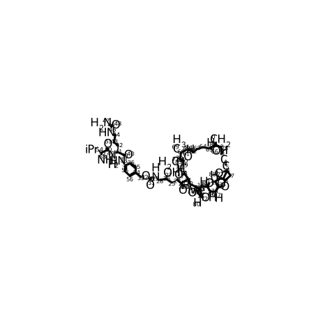 C=C1C[C@@H]2CC[C@@]34CC5OC6C(O[C@H]7CC[C@H](CC(=O)C[C@@H]8[C@@H](OC)[C@@H](C[C@H](O)CNC(=O)OCc9ccc(NC(=O)[C@H](CCCNC(N)=O)NC(=O)[C@@H](N)C(C)C)cc9)O[C@H]8C[C@H]8O[C@@H](CC[C@@H]1O2)C[C@@H](C)C8=C)O[C@@H]7[C@@H]6O3)[C@H]5O4